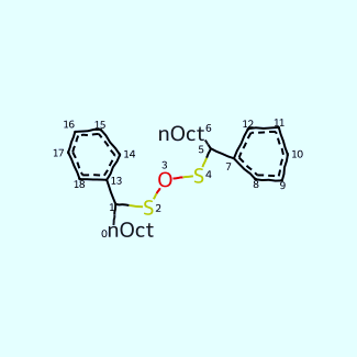 CCCCCCCCC(SOSC(CCCCCCCC)c1ccccc1)c1ccccc1